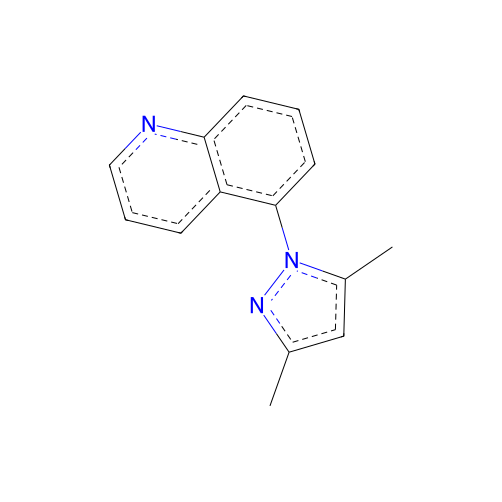 Cc1cc(C)n(-c2cccc3ncccc23)n1